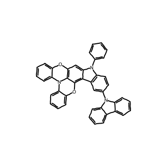 c1ccc(-n2c3ccc(-n4c5ccccc5c5ccccc54)cc3c3c4c5c(cc32)Oc2ccccc2N5c2ccccc2O4)cc1